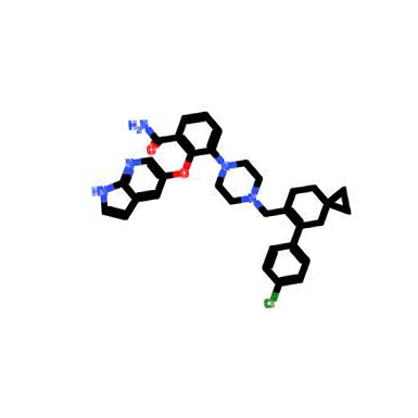 NC(=O)c1cccc(N2CCN(CC3=C(c4ccc(Cl)cc4)CC4(CC3)CC4)CC2)c1Oc1cnc2[nH]ccc2c1